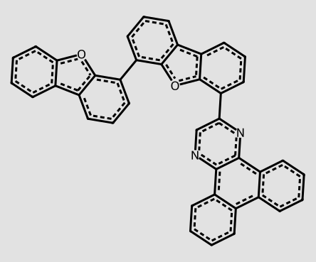 c1ccc2c(c1)oc1c(-c3cccc4c3oc3c(-c5cnc6c7ccccc7c7ccccc7c6n5)cccc34)cccc12